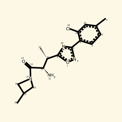 Cc1ccc(-c2noc([C@@H](C)[C@H](N)C(=O)N3CC(C)C3)n2)c(Cl)c1